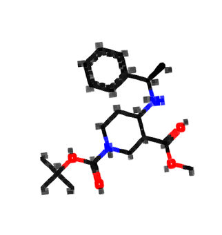 COC(=O)C1CN(C(=O)OC(C)(C)C)CCC1N[C@H](C)c1ccccc1